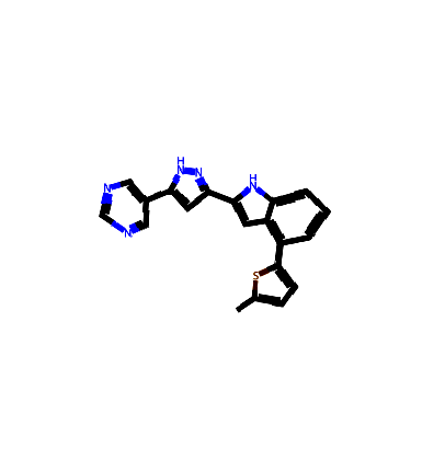 Cc1ccc(-c2cccc3[nH]c(-c4cc(-c5cncnc5)[nH]n4)cc23)s1